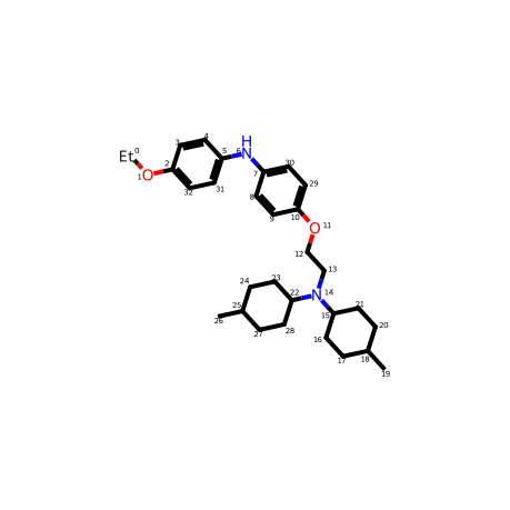 CCOc1ccc(Nc2ccc(OCCN(C3CCC(C)CC3)C3CCC(C)CC3)cc2)cc1